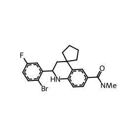 CNC(=O)c1ccc2c(c1)C1(CCCC1)CC(c1cc(F)ccc1Br)N2